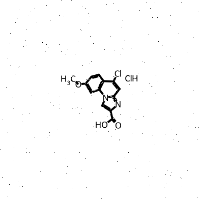 COc1ccc2c(Cl)cc3nc(C(=O)O)cn3c2c1.Cl